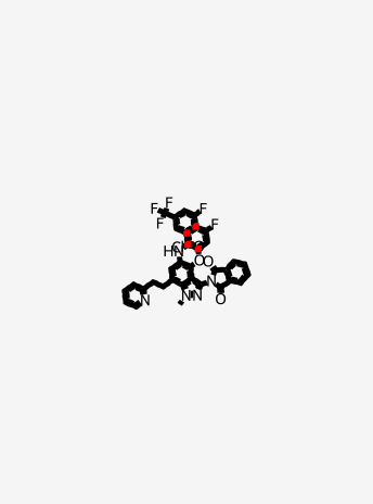 Cn1nc(N2C(=O)c3ccccc3C2=O)c2c(Oc3cc(F)ccc3Cl)c(NC(=O)c3cc(F)cc(C(F)(F)F)c3)cc(CCc3ccccn3)c21